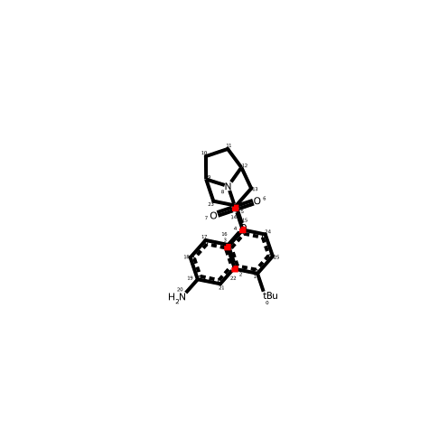 CC(C)(C)c1ccc(S(=O)(=O)N2C3CCC2CC(Oc2ccc(N)cn2)C3)cc1